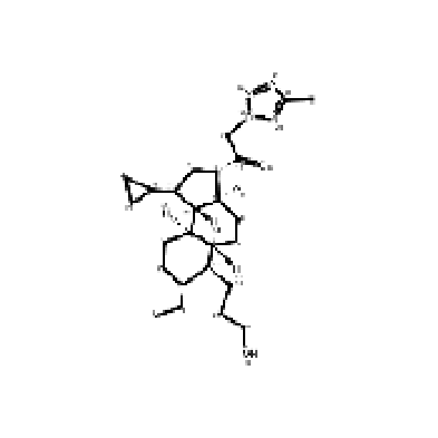 CC[C@H]1CC[C@@H]2[C@H](CC[C@]3(C)[C@@H](C(=O)Cn4nnc(C)n4)CC(C4CC4)[C@@H]23)[C@H]1CCCO